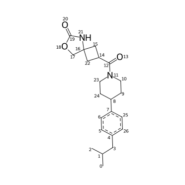 CC(C)Cc1ccc(C2CCN(C(=O)C3CC4(COC(=O)N4)C3)CC2)cc1